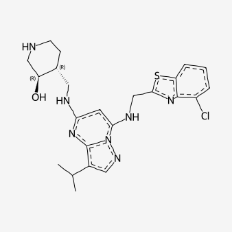 CC(C)c1cnn2c(NCc3nc4c(Cl)cccc4s3)cc(NC[C@H]3CCNC[C@@H]3O)nc12